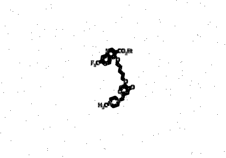 CCOC(=O)c1cnc2cc(C(F)(F)F)ccc2c1OCCCCCOc1coc(CN2CCN(C)CC2)cc1=O